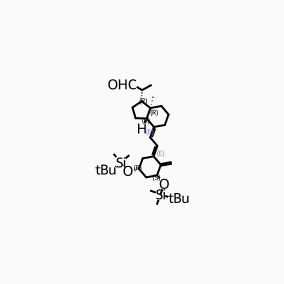 C=C1/C(=C/C=C2\CCC[C@]3(C)[C@@H](C(C)C=O)CC[C@@H]23)C[C@@H](O[Si](C)(C)C(C)(C)C)C[C@@H]1O[Si](C)(C)C(C)(C)C